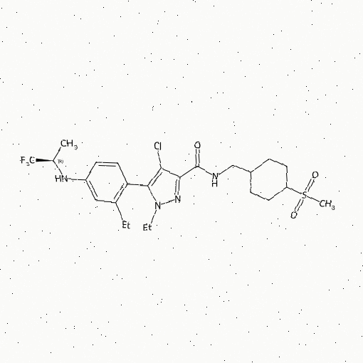 CCc1cc(N[C@H](C)C(F)(F)F)ccc1-c1c(Cl)c(C(=O)NCC2CCC(S(C)(=O)=O)CC2)nn1CC